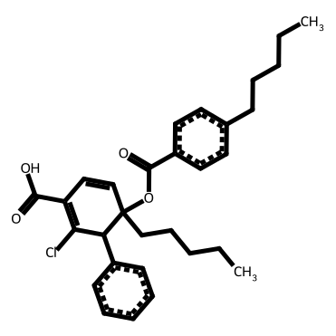 CCCCCc1ccc(C(=O)OC2(CCCCC)C=CC(C(=O)O)=C(Cl)C2c2ccccc2)cc1